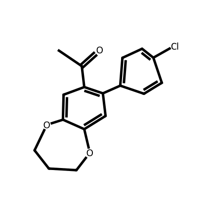 CC(=O)c1cc2c(cc1-c1ccc(Cl)cc1)OCCCO2